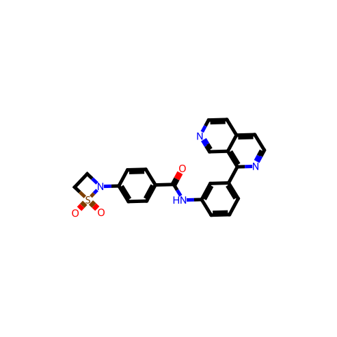 O=C(Nc1cccc(-c2nccc3ccncc23)c1)c1ccc(N2CCS2(=O)=O)cc1